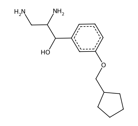 NCC(N)C(O)c1cccc(OCC2CCCC2)c1